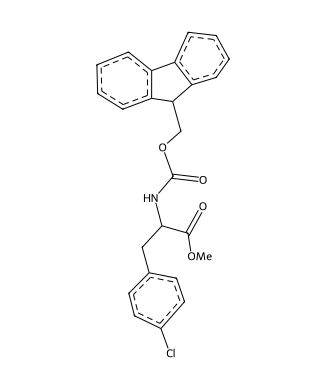 COC(=O)C(Cc1ccc(Cl)cc1)NC(=O)OCC1c2ccccc2-c2ccccc21